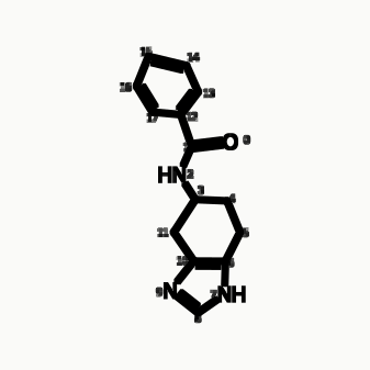 O=C(NC1CCc2[nH]cnc2C1)c1ccccc1